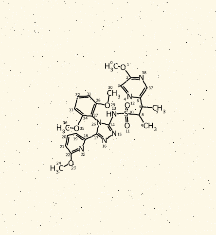 COc1cnc(C(C)C(C)S(=O)(=O)Nc2nnc(-c3cccc(OC)n3)n2-c2c(OC)cccc2OC)cn1